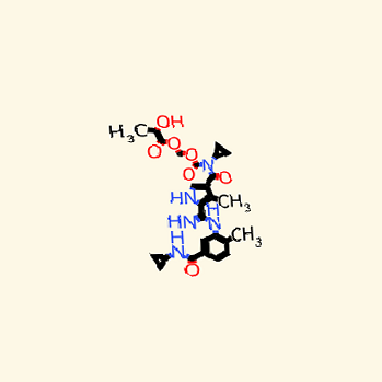 Cc1ccc(C(=O)NC2CC2)cc1NC(=N)c1[nH]cc(C(=O)N(C(=O)OCOC(=O)C(C)O)C2CC2)c1C